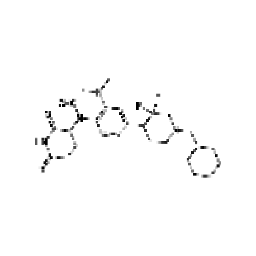 CN(C)c1cc(C2CCN(CC3CCCCC3)CC2(F)F)ccc1N(C=O)C1CCC(=O)NC1=O